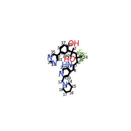 CC(C)(CC(O)(Cc1cc2cc(CN3CCCCC3)ncc2[nH]1)C(F)(F)F)c1cc(-c2cncnc2)ccc1O